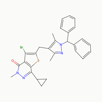 Cc1nn(C(c2ccccc2)c2ccccc2)c(C)c1Cc1sc2c(C3CC3)nn(C)c(=O)c2c1Br